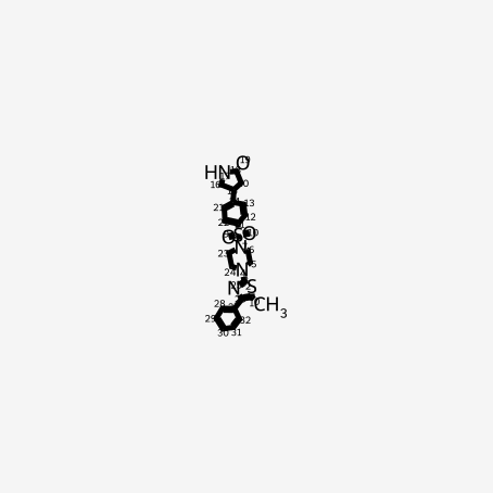 Cc1sc(N2CCN(S(=O)(=O)c3ccc(C4CNC(=O)C4)cc3)CC2)nc1-c1ccccc1